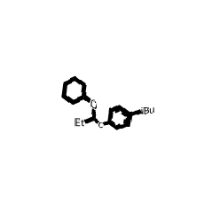 CCC(Oc1ccc(C(C)CC)cc1)OC1CCCCC1